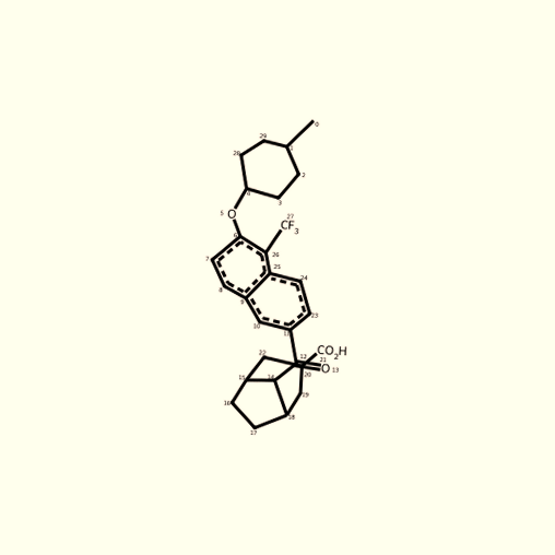 CC1CCC(Oc2ccc3cc(C(=O)C4C5CCC4CC(C(=O)O)C5)ccc3c2C(F)(F)F)CC1